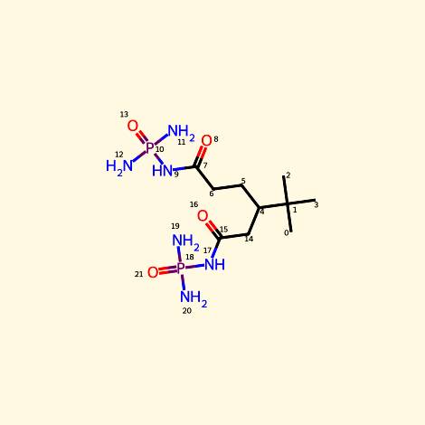 CC(C)(C)C(CCC(=O)NP(N)(N)=O)CC(=O)NP(N)(N)=O